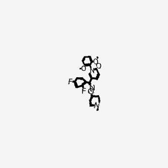 COc1cccc(OC)c1-n1cc(C(=NOC2CCN(C)CC2)c2ccc(F)cc2F)ccc1=O